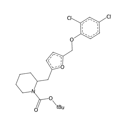 CC(C)(C)OC(=O)N1CCCCC1Cc1ccc(COc2ccc(Cl)cc2Cl)o1